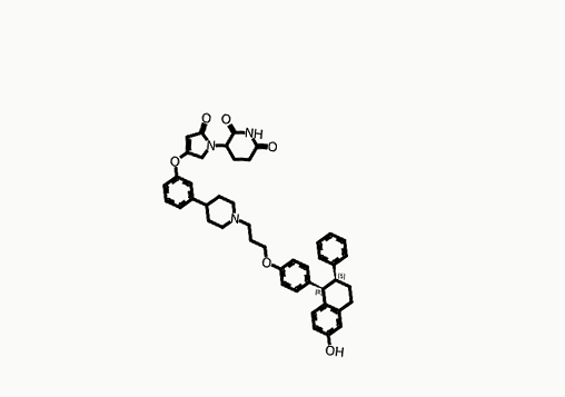 O=C1CCC(N2CC(Oc3cccc(C4CCN(CCCOc5ccc([C@@H]6c7ccc(O)cc7CC[C@@H]6c6ccccc6)cc5)CC4)c3)=CC2=O)C(=O)N1